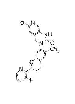 Cc1cc2c(cc1N1Cc3cc(Cl)ncc3NC1=O)OC(c1ncccc1F)CC2